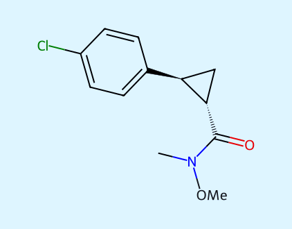 CON(C)C(=O)[C@H]1C[C@@H]1c1ccc(Cl)cc1